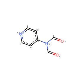 O=CN(C=O)c1ccncc1